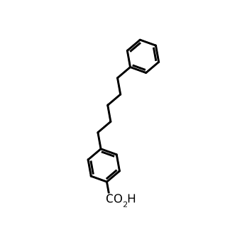 O=C(O)c1ccc(CCCCCc2ccccc2)cc1